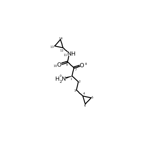 N[C@H](CCC1CC1)C(=O)C(=O)NC1CC1